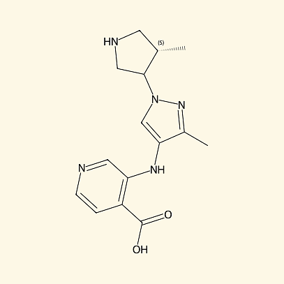 Cc1nn(C2CNC[C@@H]2C)cc1Nc1cnccc1C(=O)O